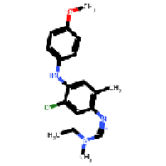 CCN(C)/C=N\c1cc(Cl)c(Nc2ccc(OC)cc2)cc1C